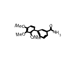 COc1ccc(-c2cccc(C(N)=O)c2)c(OC)c1OC